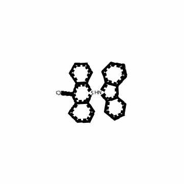 O=c1c2ccccc2sc2ccccc12.c1ccc2c(c1)[nH]c1ccccc12